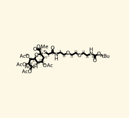 COC(=O)[C@@]1(SCC(=O)NCCOCCOCCNC(=O)OC(C)(C)C)C[C@@H](OC(C)=O)[C@@H](NC(C)=O)C([C@H](OC(C)=O)[C@@H](COC(C)=O)OC(C)=O)O1